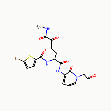 CNC(=O)C(=O)CCC(NC(=O)c1ccc(Br)s1)C(=O)Nc1cccn(CC=O)c1=O